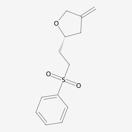 C=C1CO[C@@H](CCS(=O)(=O)c2ccccc2)C1